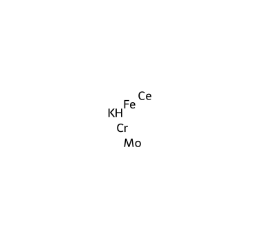 [Ce].[Cr].[Fe].[KH].[Mo]